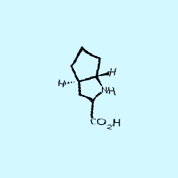 O=C(O)C1C[C@H]2CCC[C@@H]2N1